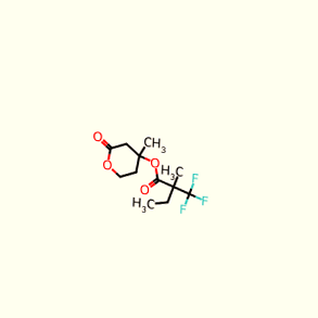 CCC(C)(C(=O)OC1(C)CCOC(=O)C1)C(F)(F)F